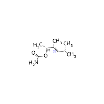 C/C(=C\C(C)C)[C@@H](C)OC(N)=O